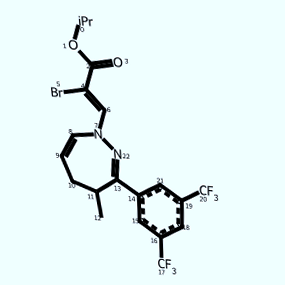 CC(C)OC(=O)/C(Br)=C/N1C=CCC(C)C(c2cc(C(F)(F)F)cc(C(F)(F)F)c2)=N1